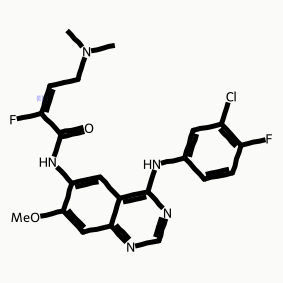 COc1cc2ncnc(Nc3ccc(F)c(Cl)c3)c2cc1NC(=O)/C(F)=C\CN(C)C